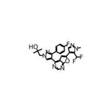 Cn1ncc(-c2cc3c(-c4cn(CC(C)(C)O)nc4-c4ccc(F)cc4)ncnc3o2)c1C(F)F